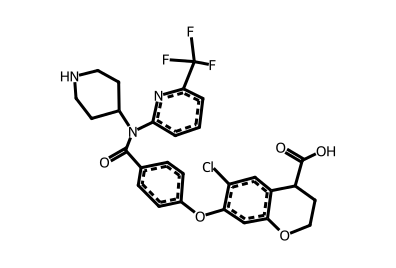 O=C(O)C1CCOc2cc(Oc3ccc(C(=O)N(c4cccc(C(F)(F)F)n4)C4CCNCC4)cc3)c(Cl)cc21